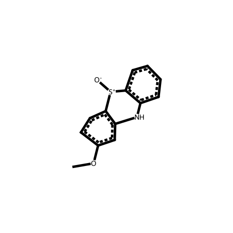 COc1ccc2c(c1)Nc1ccccc1[S+]2[O-]